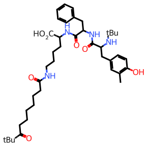 Cc1cc(CC(NC(C)(C)C)C(=O)NC(Cc2ccccc2)C(=O)NC(CCCCNC(=O)CCCCCCC(=O)C(C)(C)C)C(=O)O)ccc1O